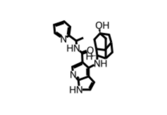 CC(NC(=O)c1cnc2[nH]ccc2c1N[C@H]1C2CC3CC1C[C@@](O)(C3)C2)c1ccccn1